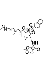 CC(=O)Oc1c(NCCN(C(=O)[C@H](CC(=O)NC[C@@H]2CCCN(C=NN)C2)NS(=O)(=O)c2ccc3ccccc3c2)C2CC2)c(=O)c1=O